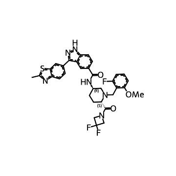 COc1cccc(F)c1CN1C[C@H](NC(=O)c2ccc3[nH]nc(-c4ccc5nc(C)sc5c4)c3c2)CC[C@H]1C(=O)N1CC(F)(F)C1